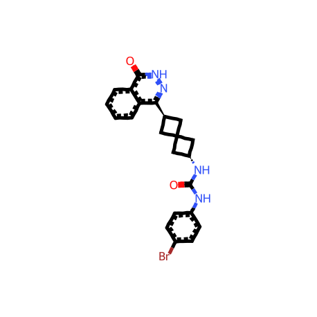 O=C(Nc1ccc(Br)cc1)N[C@H]1CC2(C1)C[C@H](c1n[nH]c(=O)c3ccccc31)C2